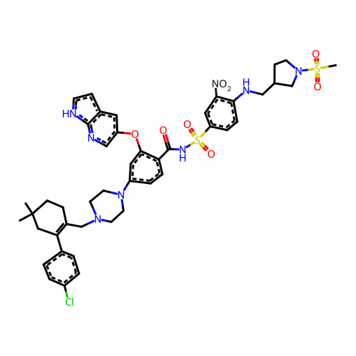 CC1(C)CCC(CN2CCN(c3ccc(C(=O)NS(=O)(=O)c4ccc(NCC5CCN(S(C)(=O)=O)C5)c([N+](=O)[O-])c4)c(Oc4cnc5[nH]ccc5c4)c3)CC2)=C(c2ccc(Cl)cc2)C1